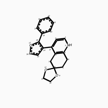 C1=CNC2=C(CC3(CC2)OCCO3)C=1c1cnoc1-c1ccccc1